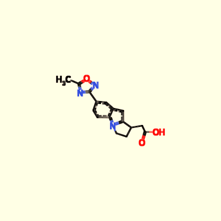 Cc1nc(-c2ccc3c(c2)cc2n3CCC2CC(=O)O)no1